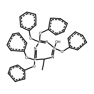 CC1N=P(O)(Oc2ccccc2)N=P(Oc2ccccc2)(Oc2ccccc2)N=P1(Oc1ccccc1)Oc1ccccc1